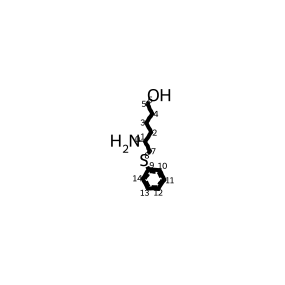 N[C@H](CCCCO)CSc1ccccc1